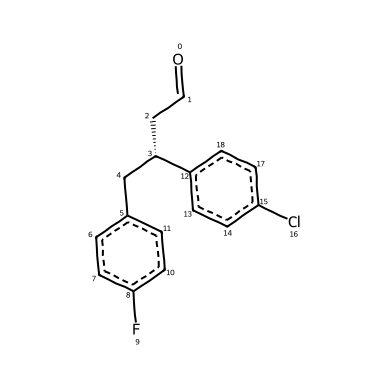 O=CC[C@@H](Cc1ccc(F)cc1)c1ccc(Cl)cc1